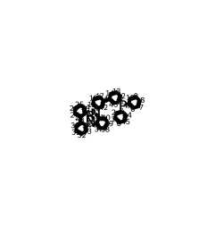 c1ccc(P(c2ccccc2)c2cccc(-c3cccc(N4B5c6ccccc6-c6ccccc6N5c5ccccc54)c3)c2)cc1